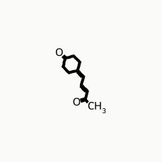 CC(=O)/C=C/C=C1CCC(=O)CC1